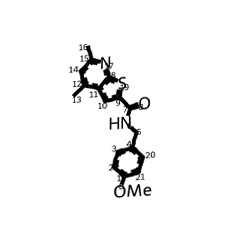 COc1ccc(CNC(=O)c2cc3c(C)cc(C)nc3s2)cc1